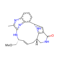 COC[C@H]1/C=C/C[C@H]2CNC(=O)c3cc([nH]c32)-c2cccc3nc(C)c(nc23)N1